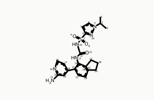 CC(C)n1ccc(S(=O)(=O)NC(=O)Nc2c(-c3ccnc(N)c3)ccc3c2CCC3)n1